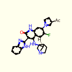 CC(=O)c1ccn(-c2cc3[nH]c(=O)c(-c4nc5ccccc5[nH]4)c(N[C@@H]4CN5CCC4CC5)c3cc2F)c1